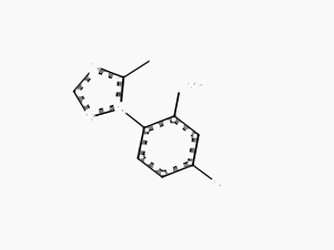 COc1cc([N+](=O)[O-])ccc1-n1ncnc1C